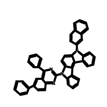 c1ccc(-c2ccc3nc(-n4c5ccccc5c5c6c7ccccc7n(-c7ccc8ccccc8c7)c6ccc54)nc(-c4ccccc4)c3c2)cc1